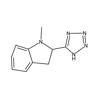 CN1c2ccccc2CC1c1nnn[nH]1